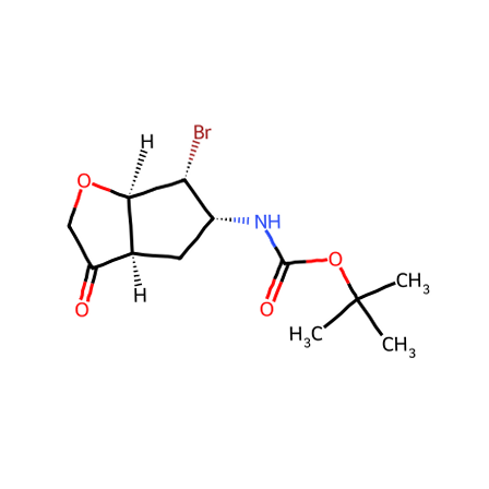 CC(C)(C)OC(=O)N[C@@H]1C[C@H]2C(=O)CO[C@H]2[C@@H]1Br